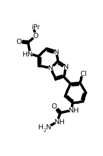 CC(C)OC(=O)Nc1cnc2nc(-c3cc(NC(=O)NN)ccc3Cl)cn2c1